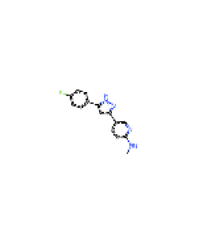 CNc1ccc(-c2cc(-c3ccc(F)cc3)[nH]n2)cn1